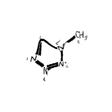 CN1C=NN=[N+]1